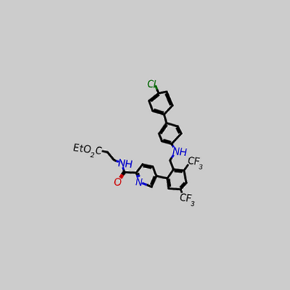 CCOC(=O)CCNC(=O)c1ccc(-c2cc(C(F)(F)F)cc(C(F)(F)F)c2CNc2ccc(-c3ccc(Cl)cc3)cc2)cn1